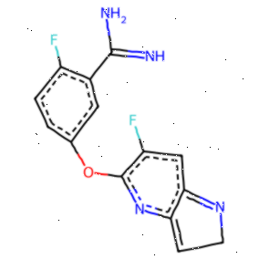 N=C(N)c1cc(Oc2nc3c(cc2F)=NCC=3)ccc1F